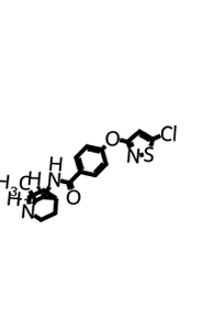 C[C@H]1[C@H](NC(=O)c2ccc(Oc3cc(Cl)sn3)cc2)C2CCN1CC2